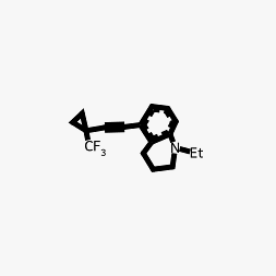 CCN1CCCc2c(C#CC3(C(F)(F)F)CC3)cccc21